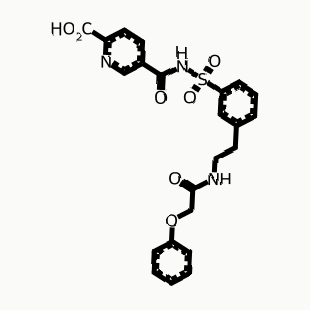 O=C(COc1ccccc1)NCCc1cccc(S(=O)(=O)NC(=O)c2ccc(C(=O)O)nc2)c1